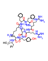 CCC(C)C(NC(=O)C(Cc1ccc(O)cc1)NC(=O)C1CCCN1C(=O)C(CCCNC(=N)N)NC(=O)C(CCCNC(=N)N)NC(=O)C(Cc1ccccc1)NC(=O)C(Cc1ccccc1)NC(=O)C(N)CCCCN)C(=O)NC(CC(C)C)C(=O)O